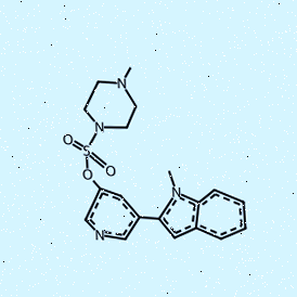 CN1CCN(S(=O)(=O)Oc2cncc(-c3cc4ccccc4n3C)c2)CC1